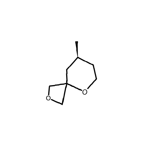 C[C@H]1CCOC2(COC2)C1